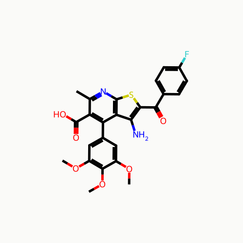 COc1cc(-c2c(C(=O)O)c(C)nc3sc(C(=O)c4ccc(F)cc4)c(N)c23)cc(OC)c1OC